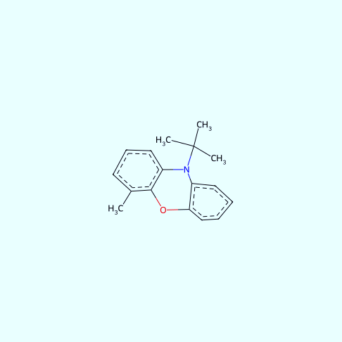 Cc1cccc2c1Oc1ccccc1N2C(C)(C)C